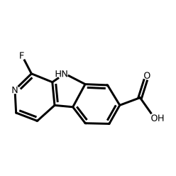 O=C(O)c1ccc2c(c1)[nH]c1c(F)nccc12